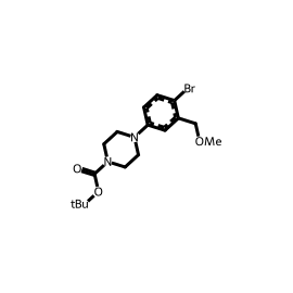 COCc1cc(N2CCN(C(=O)OC(C)(C)C)CC2)ccc1Br